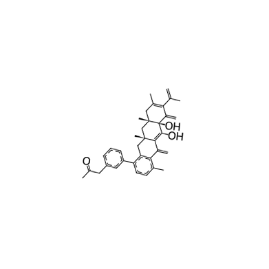 C=C(C)C1=C(C)C[C@@]2(C)C[C@@]3(C)Cc4c(-c5cccc(CC(C)=O)c5)ccc(C)c4C(=C)C3=C(O)[C@@]2(O)C1=C